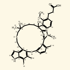 COc1c(CCC(=O)O)cccc1C1(C)CCCC(C)(C)CSCCc2c(c(F)c(F)c3[nH]ccc23)Oc2ccc(F)c(c2)-c2nc1nn2C